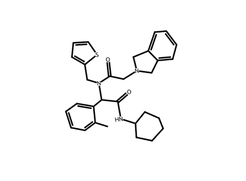 Cc1ccccc1C(C(=O)NC1CCCCC1)N(Cc1cccs1)C(=O)CN1Cc2ccccc2C1